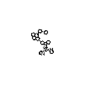 c1ccc(-c2cccc(-n3c4cccc5ccc6cc(-c7ccc8c(c7)c7ccccc7n8-c7nc(-c8ccccn8)cc(-c8ccccn8)n7)cc3c6c54)c2)cc1